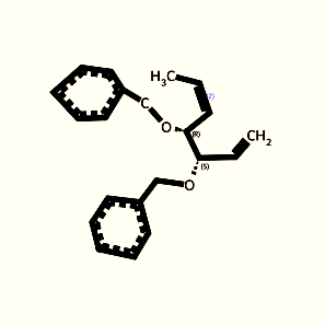 C=C[C@H](OCc1ccccc1)[C@@H](/C=C\C)OCc1ccccc1